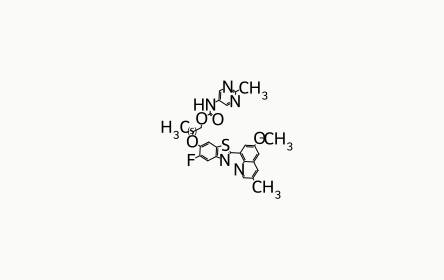 COc1cc(-c2nc3cc(F)c(O[C@@H](C)COC(=O)Nc4cnc(C)nc4)cc3s2)c2ncc(C)cc2c1